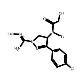 CCN(C(=O)CO)C1CN(/C(N)=N/O)N=C1c1ccc(Cl)cc1